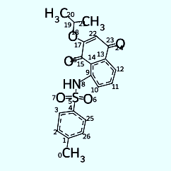 Cc1ccc(S(=O)(=O)Nc2cccc3c2C(=O)C(OC(C)C)=CC3=O)cc1